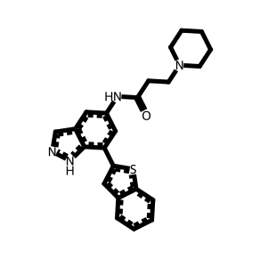 O=C(CCN1CCCCC1)Nc1cc(-c2cc3ccccc3s2)c2[nH]ncc2c1